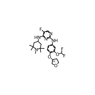 CN1C(C)(C)CC(Nc2nc(Nc3ccc(O[C@H]4CCOC4)c(OC(F)F)c3)ncc2F)CC1(C)C